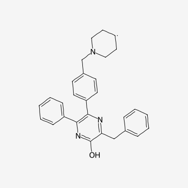 Oc1nc(-c2ccccc2)c(-c2ccc(CN3CC[CH]CC3)cc2)nc1Cc1ccccc1